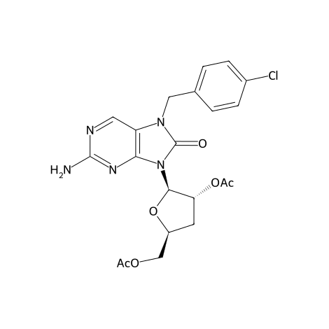 CC(=O)OC[C@@H]1C[C@@H](OC(C)=O)[C@H](n2c(=O)n(Cc3ccc(Cl)cc3)c3cnc(N)nc32)O1